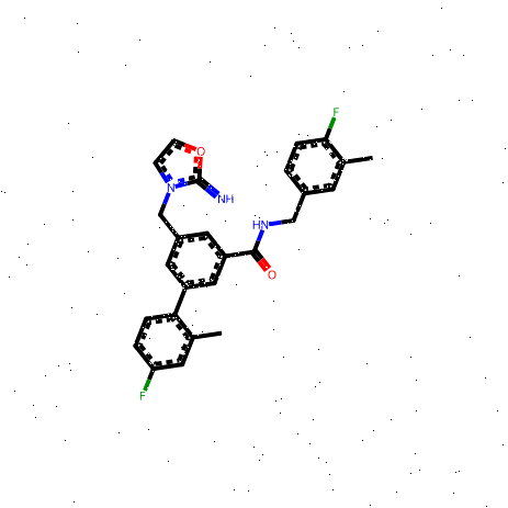 Cc1cc(CNC(=O)c2cc(Cn3ccoc3=N)cc(-c3ccc(F)cc3C)c2)ccc1F